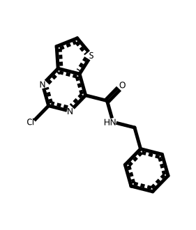 O=C(NCc1ccccc1)c1nc(Cl)nc2ccsc12